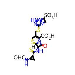 O=CN[C@@H]1C[C@@H]1C(=S)NC1C(=O)N2C(C(=O)O)=C(CSC3=NNN4C(S(=O)(=O)O)CN34)CS[C@@H]12